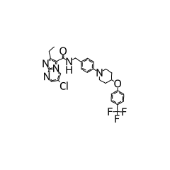 CCc1nc2ncc(Cl)cn2c1C(=O)NCc1ccc(N2CCC(Oc3ccc(C(F)(F)F)cc3)CC2)cc1